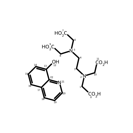 O=C(O)CN(CCN(CC(=O)O)CC(=O)O)CC(=O)O.Oc1cccc2cccnc12